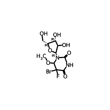 COC1N([C@@H]2O[C@H](CO)[C@H](O)C2O)C(=O)NC(=O)C1(F)Br